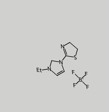 CCN1C=CN(C2=NCCS2)C1.F[B-](F)(F)F